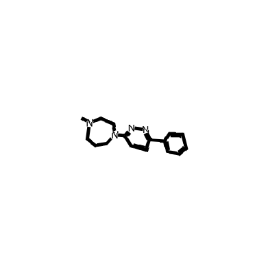 CN1CCCN(c2ccc(-c3ccccc3)nn2)CC1